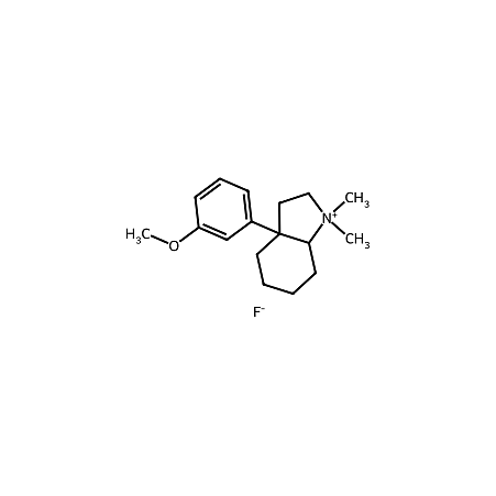 COc1cccc(C23CCCCC2[N+](C)(C)CC3)c1.[F-]